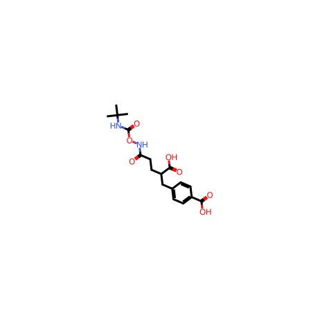 CC(C)(C)NC(=O)ONC(=O)CCC(Cc1ccc(C(=O)O)cc1)C(=O)O